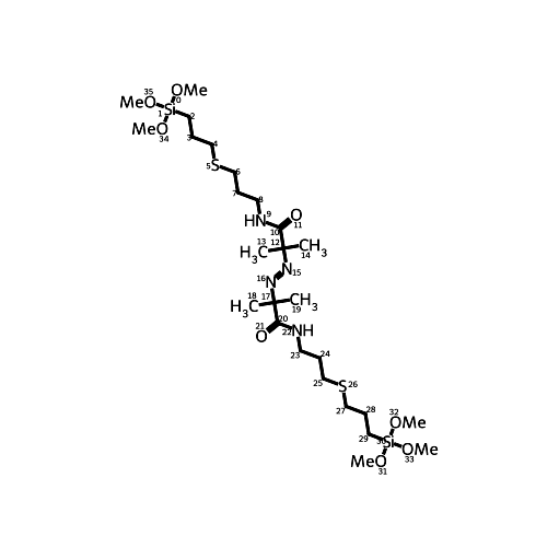 CO[Si](CCCSCCCNC(=O)C(C)(C)N=NC(C)(C)C(=O)NCCCSCCC[Si](OC)(OC)OC)(OC)OC